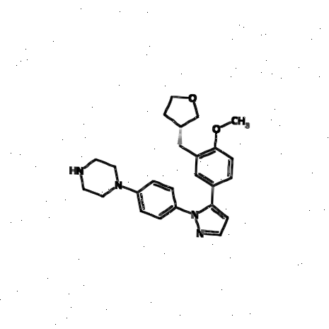 COc1ccc(-c2ccnn2-c2ccc(N3CCNCC3)cc2)cc1C[C@@H]1CCOC1